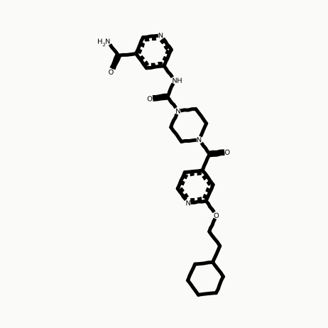 NC(=O)c1cncc(NC(=O)N2CCN(C(=O)c3ccnc(OCCC4CCCCC4)c3)CC2)c1